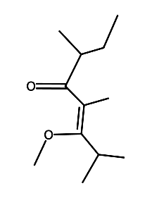 CCC(C)C(=O)/C(C)=C(\OC)C(C)C